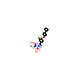 CC(CO)N(C(=O)O)c1ncc(-c2ccc(OCc3ccc(-c4ccccc4)cc3)c(C(F)(F)F)c2)[nH]1